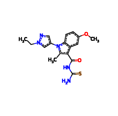 CCn1cc(-n2c(C)c(C(=O)NC(N)=S)c3cc(OC)ccc32)cn1